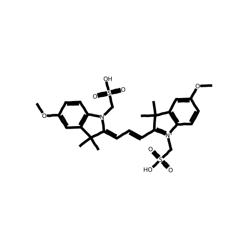 COc1ccc2c(c1)C(C)(C)C(=CC=CC1=[N+](CS(=O)(=O)O)c3ccc(OC)cc3C1(C)C)N2CS(=O)(=O)O